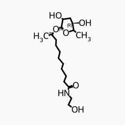 CC1O[C@@H](O[C@H](C)CCCCCCCCC(=O)NCCO)C(O)C[C@H]1O